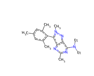 CCN(CC)c1nc(C)nc2c(-c3c(C)cc(C)cc3C)n(C)nc12